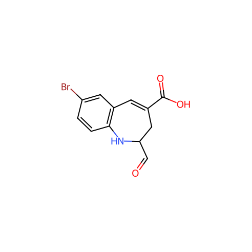 O=CC1CC(C(=O)O)=Cc2cc(Br)ccc2N1